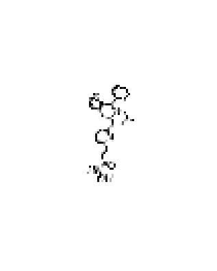 CC(C)CN1C(Cc2cccc(/C=C/C(=O)NO)n2)Cc2ccsc2C1c1ccccc1